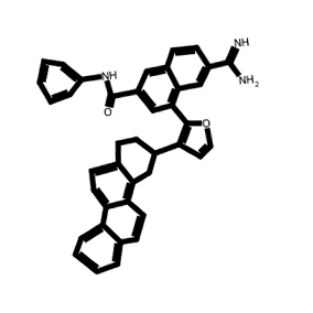 N=C(N)c1ccc2cc(C(=O)Nc3ccccc3)cc(-c3occc3C3CCc4ccc5c(ccc6ccccc65)c4C3)c2c1